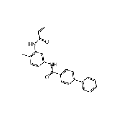 C=CC(=O)Nc1cc(NC(=O)c2ccc(-c3ccccc3)cc2)ccc1C